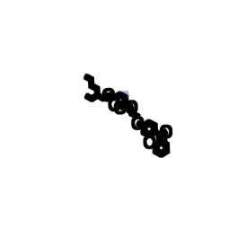 CCCCC(CC)COC(=O)/C=C\C(=O)OCCOc1ccc(C(=O)c2ccccc2)c(O)c1